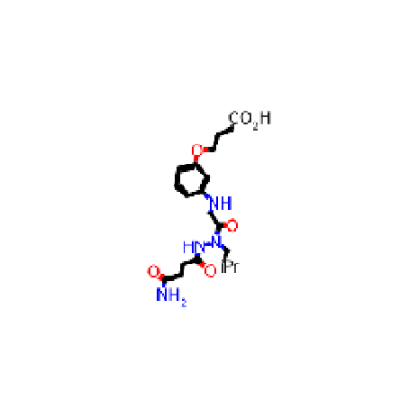 CC(C)CN(NC(=O)CCC(N)=O)C(=O)CNc1cccc(OCCCC(=O)O)c1